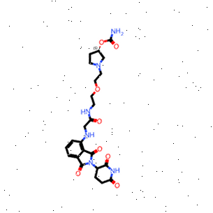 NC(=O)O[C@H]1CCN(CCOCCNC(=O)CNc2cccc3c2C(=O)N(C2CCC(=O)NC2=O)C3=O)C1